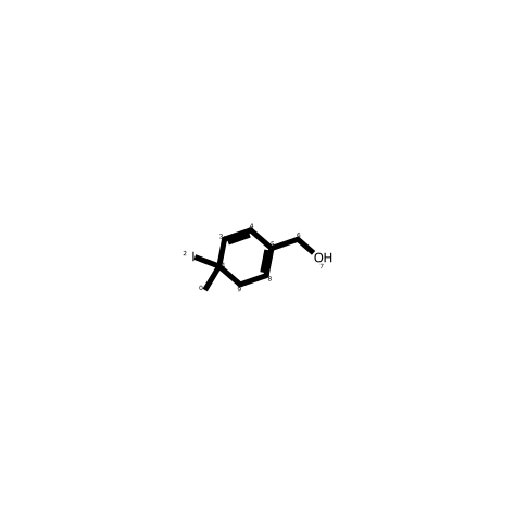 CC1(I)C=CC(CO)=CC1